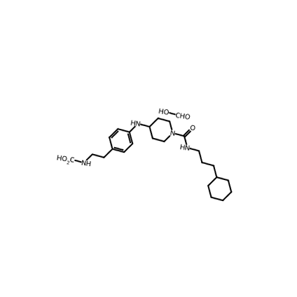 O=C(O)NCCc1ccc(NC2CCN(C(=O)NCCCC3CCCCC3)CC2)cc1.O=CO